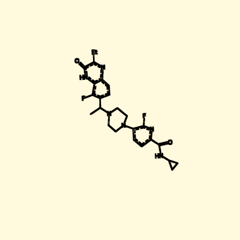 CCc1nc2ccc(C(C)N3CCN(c4ccc(C(=O)NC5CC5)nc4F)CC3)c(F)c2[nH]c1=O